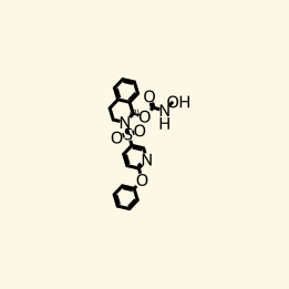 O=C(NO)O[C@@H]1c2ccccc2CCN1S(=O)(=O)c1ccc(Oc2ccccc2)nc1